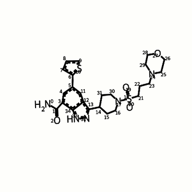 NC(=O)c1cc(-c2cccs2)cc2c(C3CCN(S(=O)(=O)CCCN4CCOCC4)CC3)n[nH]c12